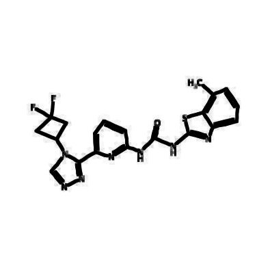 Cc1cccc2nc(NC(=O)Nc3cccc(-c4nncn4C4CC(F)(F)C4)n3)sc12